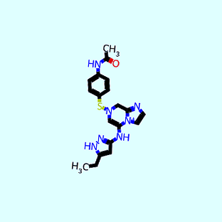 CCc1cc(NC2=CN(Sc3ccc(NC(C)=O)cc3)CC3=NC=C[N+]23)n[nH]1